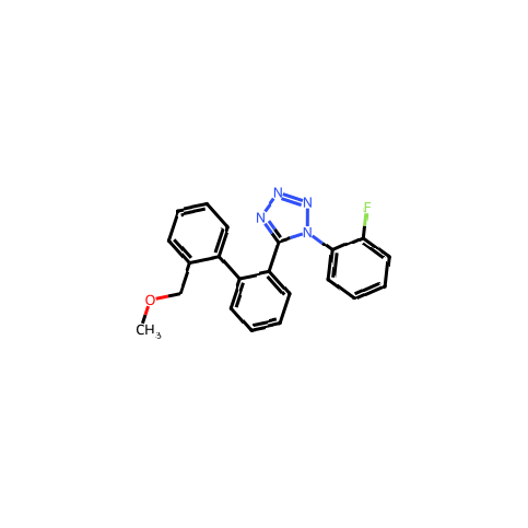 COCc1ccccc1-c1ccccc1-c1nnnn1-c1ccccc1F